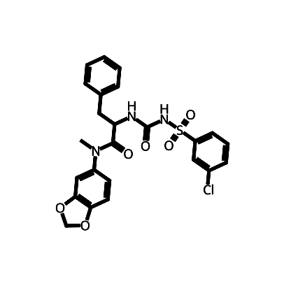 CN(C(=O)C(Cc1ccccc1)NC(=O)NS(=O)(=O)c1cccc(Cl)c1)c1ccc2c(c1)OCO2